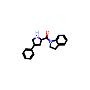 O=C(C1CC(c2ccccc2)CN1)N1CCc2ccccc21